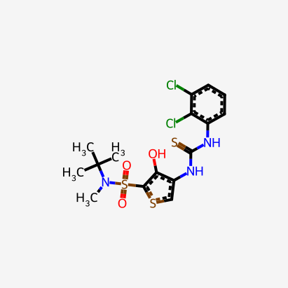 CN(C(C)(C)C)S(=O)(=O)c1scc(NC(=S)Nc2cccc(Cl)c2Cl)c1O